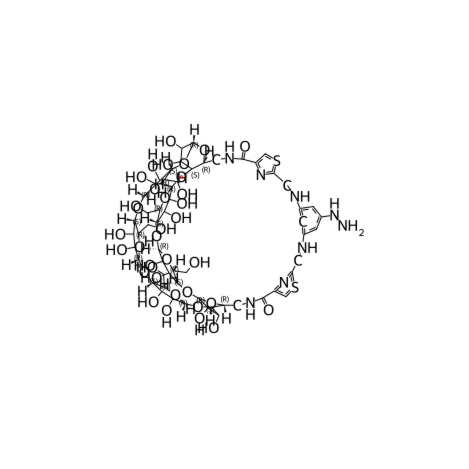 NNc1cc2cc(c1)NCc1nc(cs1)C(=O)NC[C@H]1O[C@@H]3O[C@H]4C(O)C(O)[C@H](O[C@@H]4CO)O[C@H]4C(O)C(O)[C@H](O[C@@H]4CO)O[C@H]4C(O)C(O)[C@H](O[C@@H]4CO)O[C@H]4C(O)C(O)[C@H](O[C@@H]4CNC(=O)c4csc(n4)CN2)O[C@H]2C(O)C(O)[C@H](O[C@@H]2CO)O[C@H]2C(O)C(O)[C@H](O[C@@H]2CO)O[C@H]1C(O)C3O